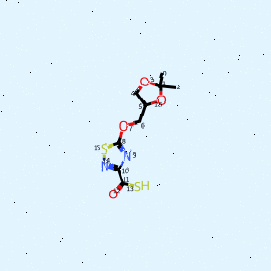 CC1(C)OCC(COc2nc(C(=O)S)ns2)O1